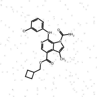 Cc1cn(C(N)=O)c2c(Nc3cccc(Cl)c3)ncc(C(=O)OCC3CCC3)c12